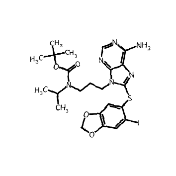 CC(C)N(CCCn1c(Sc2cc3c(cc2I)OCO3)nc2c(N)ncnc21)C(=O)OC(C)(C)C